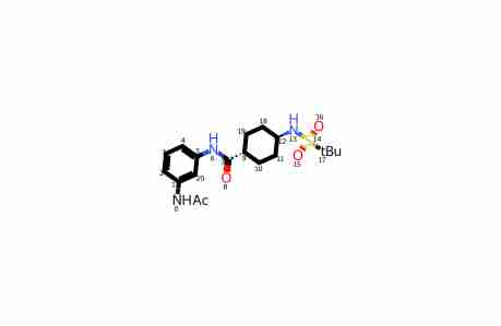 CC(=O)Nc1cccc(NC(=O)[C@H]2CC[C@H](NS(=O)(=O)C(C)(C)C)CC2)c1